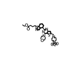 CCOC(=O)CCCn1ncc2c(-c3nc(N4CCOCC4)c4sc(CN5CCN(S(C)(=O)=O)CC5)cc4n3)cccc21